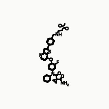 CS(=O)(=O)CCNCc1ccc(-c2cc3nccc(Oc4ccc(N(C(=O)C5(C(N)=O)CC5)c5ccccc5)cc4F)c3s2)cc1